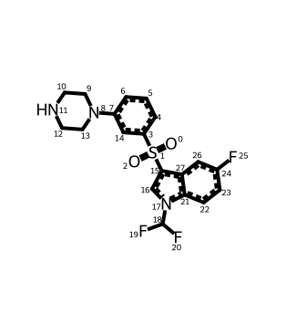 O=S(=O)(c1cccc(N2CCNCC2)c1)c1cn(C(F)F)c2ccc(F)cc12